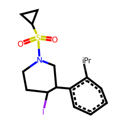 CC(C)c1ccccc1C1CN(S(=O)(=O)C2CC2)CCC1I